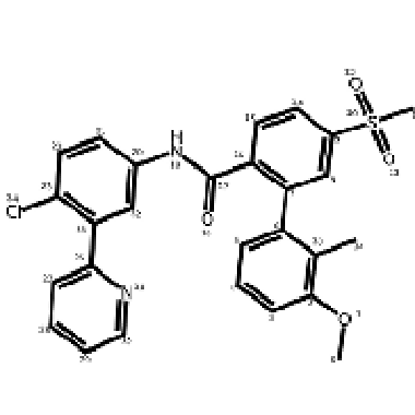 COc1cccc(-c2cc(S(C)(=O)=O)ccc2C(=O)Nc2ccc(Cl)c(-c3ccccn3)c2)c1C